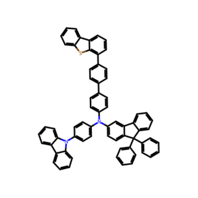 c1ccc(C2(c3ccccc3)c3ccccc3-c3cc(N(c4ccc(-c5ccc(-c6cccc7c6sc6ccccc67)cc5)cc4)c4ccc(-n5c6ccccc6c6ccccc65)cc4)ccc32)cc1